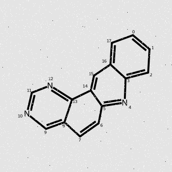 c1ccc2nc3ccc4cncnc4c3cc2c1